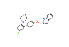 Fc1ccc(N2CCOCC2)c(-c2ccc(OCc3ccc4ccccc4n3)cc2)c1